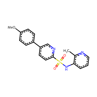 COc1ccc(-c2ccc(S(=O)(=O)Nc3cccnc3C)nc2)cc1